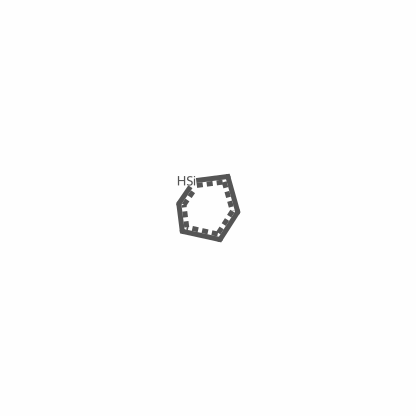 c1cc[siH]cc1